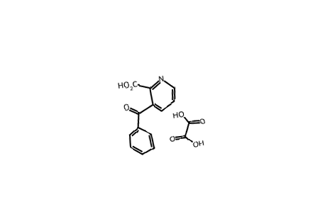 O=C(O)C(=O)O.O=C(c1ccccc1)c1cccnc1C(=O)O